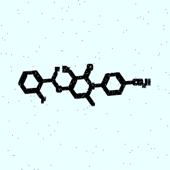 Cc1cc(OC(F)c2ccccc2F)c(Br)c(=O)n1-c1ccc(C(=O)O)cc1